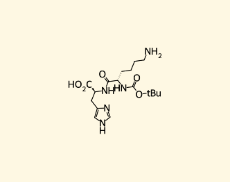 CC(C)(C)OC(=O)N[C@@H](CCCCN)C(=O)N[C@@H](Cc1c[nH]cn1)C(=O)O